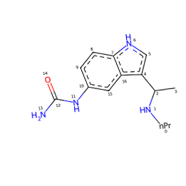 CCCNC(C)c1c[nH]c2ccc(NC(N)=O)cc12